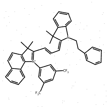 CC1(C)C(/C=C/C=C2/N(CCc3ccccc3)c3ccccc3C2(C)C)=[N+](c2cc(C(F)(F)F)cc(C(F)(F)F)c2)c2c1ccc1ccccc21